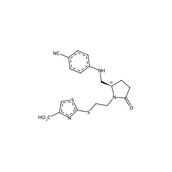 N#Cc1ccc(NC[C@H]2CCC(=O)N2CCSc2nc(C(=O)O)cs2)cc1